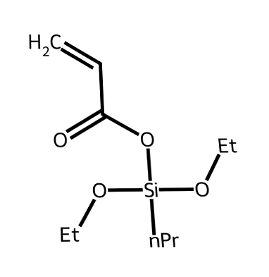 C=CC(=O)O[Si](CCC)(OCC)OCC